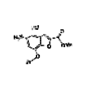 COC(=O)c1cc2cc(N)cc(OC(C)C)c2o1.Cl